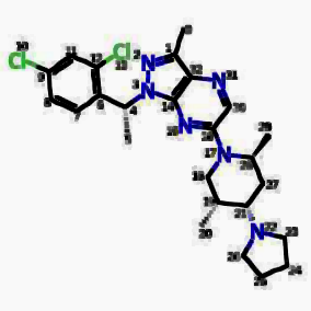 Cc1nn([C@H](C)c2ccc(Cl)cc2Cl)c2nc(N3C[C@@H](C)[C@@H](N4CCCC4)C[C@@H]3C)cnc12